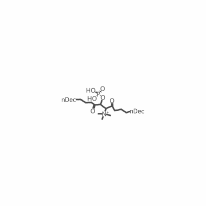 CCCCCCCCCCCCCC(=O)C(OP(=O)(O)O)C(C(=O)CCCCCCCCCCCCC)[N+](C)(C)C